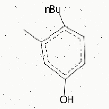 CCCCc1ccc(O)cc1C